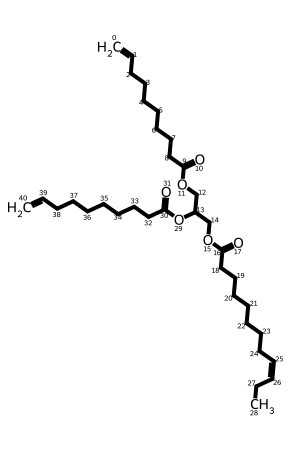 C=CCCCCCCCC(=O)OCC(COC(=O)CCCCCCC/C=C\CC)OC(=O)CCCCCCCC=C